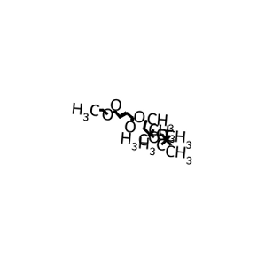 CCOC(=O)C=CC(=O)OC(C)CC(C)(C)OOC(C)(C)CC